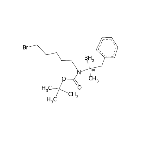 B[C@@](C)(Cc1ccccc1)N(CCCCCBr)C(=O)OC(C)(C)C